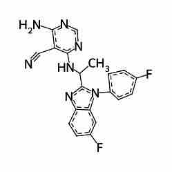 CC(Nc1ncnc(N)c1C#N)c1nc2ccc(F)cc2n1-c1ccc(F)cc1